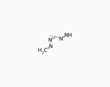 C=N/N=C\N=N